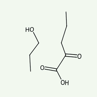 CCCC(=O)C(=O)O.CCCO